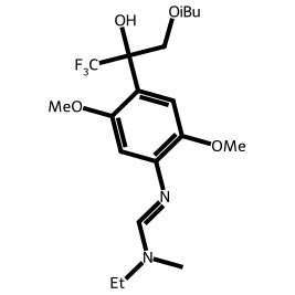 CCN(C)/C=N/c1cc(OC)c(C(O)(COCC(C)C)C(F)(F)F)cc1OC